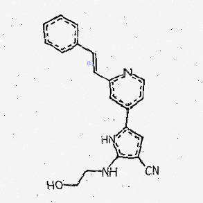 N#Cc1cc(-c2ccnc(/C=C/c3ccccc3)c2)[nH]c1NCCO